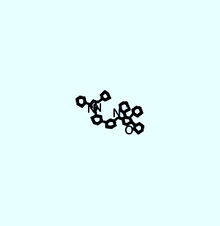 c1ccc(-c2cc(-c3ccccc3)nc(-c3cccc(-c4cccc(-c5nc6ccccc6c6c(-c7ccccc7)c7c(cc56)oc5ccccc57)c4)c3)n2)cc1